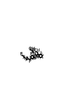 C[C@@H]1Cc2c([nH]c3ccccc23)[C@@H](c2c(F)cc(C(F)C3CN(CCCF)C3)cc2F)N1CC(F)CO